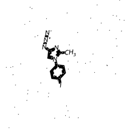 Cc1nc(N=[N+]=[N-])cn1-c1ccc(I)cc1